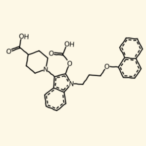 O=C(O)Oc1c(N2CCC(C(=O)O)CC2)c2ccccc2n1CCCOc1cccc2ccccc12